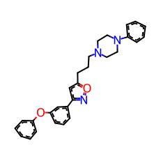 c1ccc(Oc2cccc(-c3cc(CCCN4CCN(c5ccccc5)CC4)on3)c2)cc1